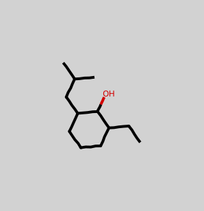 CCC1CCCC(CC(C)C)C1O